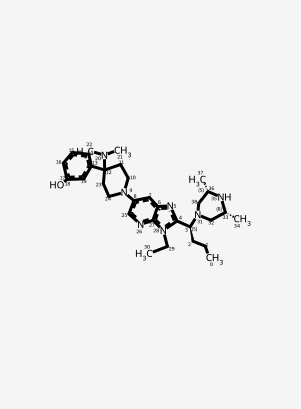 CCC[C@@H](c1nc2cc(N3CCC(c4cccc(O)c4)(N(C)C)CC3)cnc2n1CC)N1C[C@@H](C)N[C@@H](C)C1